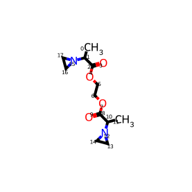 CC(C(=O)OCCOC(=O)C(C)N1CC1)N1CC1